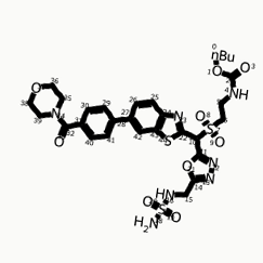 CCCCOC(=O)NCCS(=O)(=O)C(c1nnc(CNS(N)(=O)=O)o1)c1nc2ccc(-c3ccc(C(=O)N4CCOCC4)cc3)cc2s1